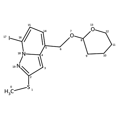 CSc1cc2c(COC3CCCCO3)ccc(I)n2n1